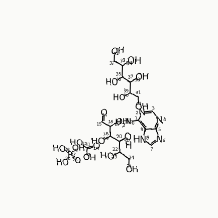 Nc1ncnc2nc[nH]c12.O=C(O)O.O=CC(O)C(O)C(O)C(O)CO.O=P(O)(O)O.OCC(O)C(O)C(O)C(O)CO